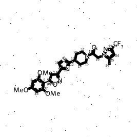 COc1cc(OC)c([C@H]2CC(c3csc(C4CCN(C(=O)Cn5nc(C(F)(F)F)cc5C)CC4)n3)=NO2)c(OC)c1